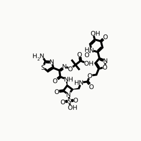 CC(C)(ON=C(C(=O)N[C@@H]1C(=O)N(S(=O)(=O)O)[C@@H]1CNC(=O)OCc1cc(-c2cc(=O)c(O)cn2O)no1)c1csc(N)n1)C(=O)O